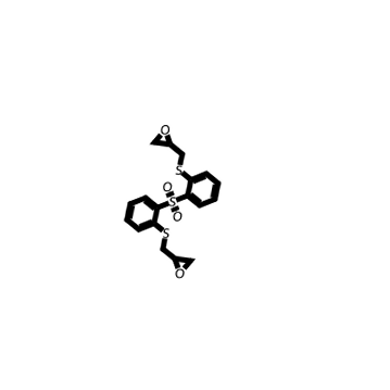 O=S(=O)(c1ccccc1SCC1CO1)c1ccccc1SCC1CO1